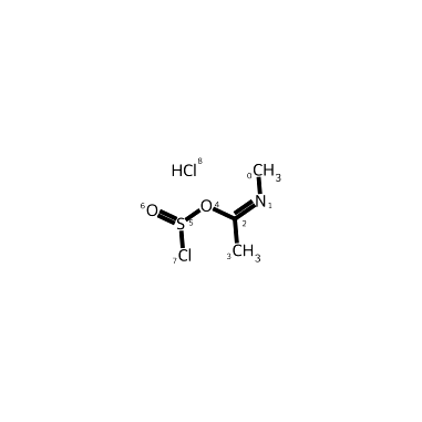 CN=C(C)OS(=O)Cl.Cl